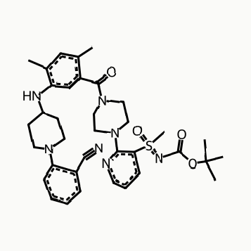 Cc1cc(C)c(C(=O)N2CCN(c3ncccc3S(C)(=O)=NC(=O)OC(C)(C)C)CC2)cc1NC1CCN(c2ccccc2C#N)CC1